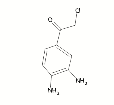 Nc1ccc(C(=O)CCl)cc1N